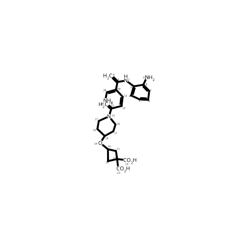 C=C(Nc1ccccc1N)C(/C=C\C(=C)N1CCC(OC2CC(C(=O)O)(C(=O)O)C2)CC1)=C/N